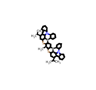 Cc1c2c(cc3c1Sc1cc(C(C)C)c4c5ccccc5n5c4c1B3c1ccccc1-5)B1c3ccccc3-n3c4ccccc4c4c(C(C)C)cc(c1c43)S2